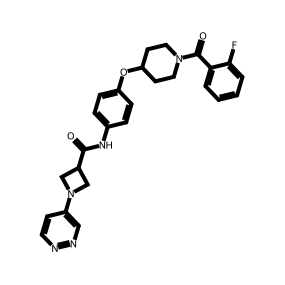 O=C(Nc1ccc(OC2CCN(C(=O)c3ccccc3F)CC2)cc1)C1CN(c2ccnnc2)C1